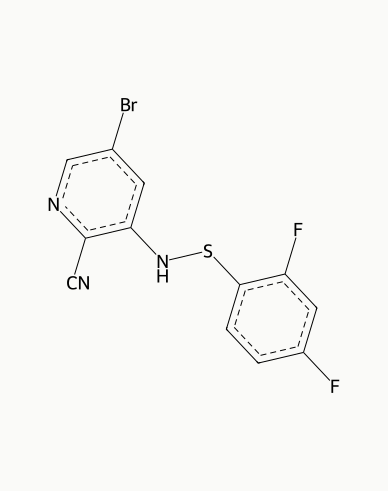 N#Cc1ncc(Br)cc1NSc1ccc(F)cc1F